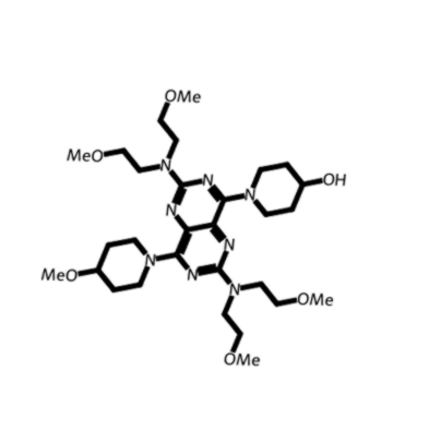 COCCN(CCOC)c1nc(N2CCC(OC)CC2)c2nc(N(CCOC)CCOC)nc(N3CCC(O)CC3)c2n1